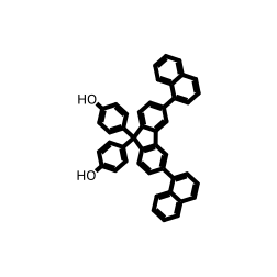 Oc1ccc(C2(c3ccc(O)cc3)c3ccc(-c4cccc5ccccc45)cc3-c3cc(-c4cccc5ccccc45)ccc32)cc1